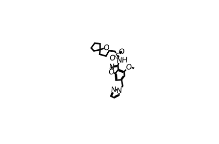 COc1cc(Cn2cccn2)cc2onc(NS(=O)(=O)CC3CCC4(CCCC4)O3)c12